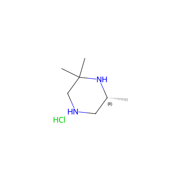 C[C@@H]1CNCC(C)(C)N1.Cl